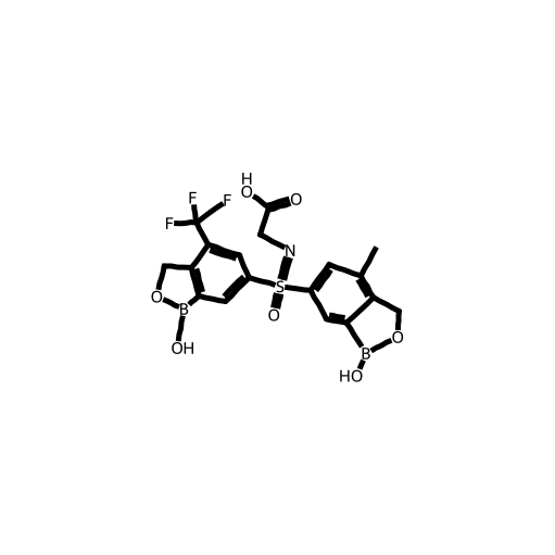 Cc1cc(S(=O)(=NCC(=O)O)c2cc3c(c(C(F)(F)F)c2)COB3O)cc2c1COB2O